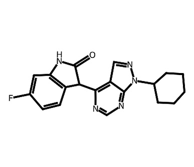 O=C1Nc2cc(F)ccc2C1c1ncnc2c1cnn2C1CCCCC1